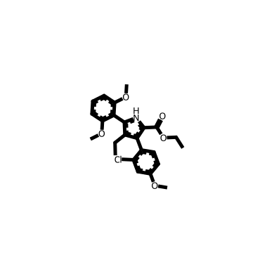 CCOC(=O)c1[nH]c(-c2c(OC)cccc2OC)c(CC)c1-c1ccc(OC)cc1Cl